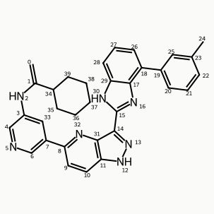 C=C(Nc1cncc(-c2ccc3[nH]nc(-c4nc5c(-c6cccc(C)c6)cccc5[nH]4)c3n2)c1)C1CCCCC1